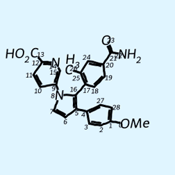 COc1ccc(-c2ccn(-c3ccc(C(=O)O)nc3)c2-c2ccc(C(N)=O)cc2C)cc1